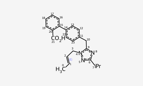 C/C=C/Cn1nc(C(C)C)nc1Cc1ccc(-c2ccccc2C(=O)O)cc1